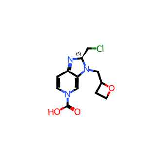 O=C(O)N1C=CC2=N[C@@H](CCl)N(CC3CCO3)C2=C1